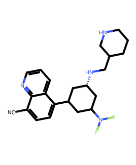 N#Cc1ccc(C2CC(N(F)F)C[C@@H](NCC3CCCNC3)C2)c2cccnc12